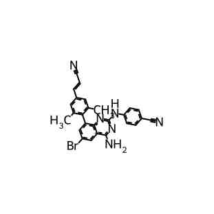 Cc1cc(C=CC#N)cc(C)c1-c1cc(Br)cc2c(N)nc(Nc3ccc(C#N)cc3)nc12